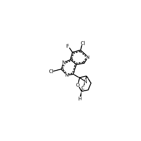 Fc1c(Cl)ncc2c(N3C[C@@H]4CCC3CO4)nc(Cl)nc12